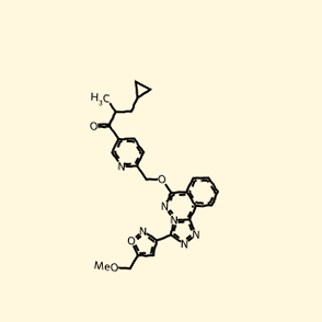 COCc1cc(-c2nnc3c4ccccc4c(OCc4ccc(C(=O)C(C)CC5CC5)cn4)nn23)no1